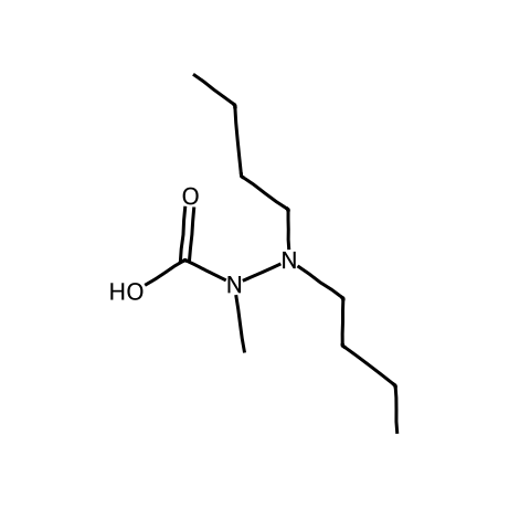 CCCCN(CCCC)N(C)C(=O)O